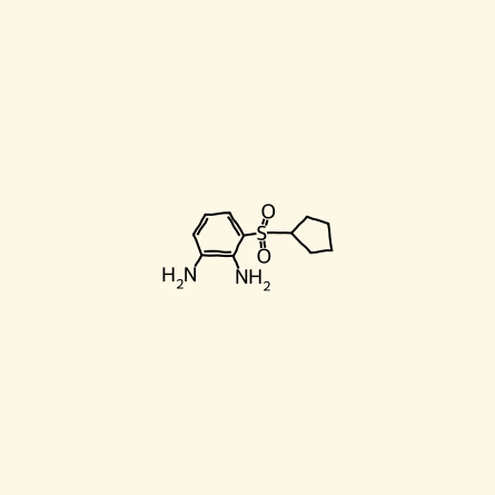 Nc1cccc(S(=O)(=O)C2CCCC2)c1N